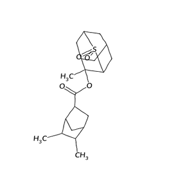 CC1C2CC(C(=O)OC3(C)C4CC5CC(C4)S(=O)(=O)C3C5)C(C2)C1C